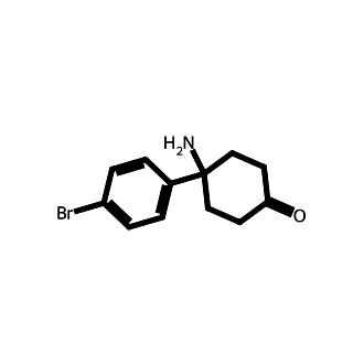 NC1(c2ccc(Br)cc2)CCC(=O)CC1